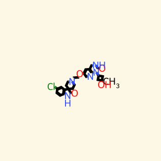 CC1(O)CC(N2C(=O)NCc3cc(OCCN4CCC5(CC4)C(=O)Nc4ccc(Cl)cc45)cnc32)C1